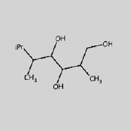 CC(C)C(C)C(O)C(O)C(C)CO